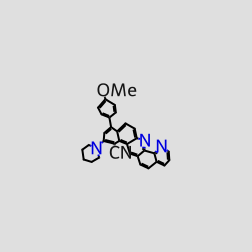 COc1ccc(-c2cc(N3CCCCC3)c(C#N)c3c2ccc2nc4c(ccc5cccnc54)cc23)cc1